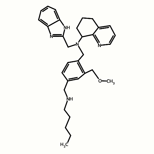 CCCCCNCc1ccc(CN(Cc2nc3ccccc3[nH]2)C2CCCc3cccnc32)c(COC)c1